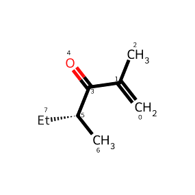 C=C(C)C(=O)[C@H](C)CC